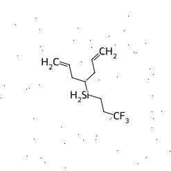 C=CCC(CC=C)[SiH2]CCC(F)(F)F